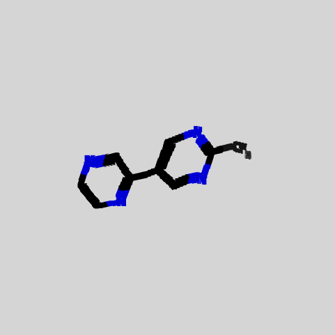 FC(F)(F)c1ncc(-c2cnccn2)cn1